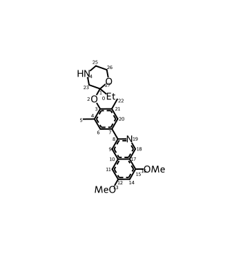 CCC1(Oc2c(C)cc(-c3cc4cc(OC)cc(OC)c4cn3)cc2C)CNCCO1